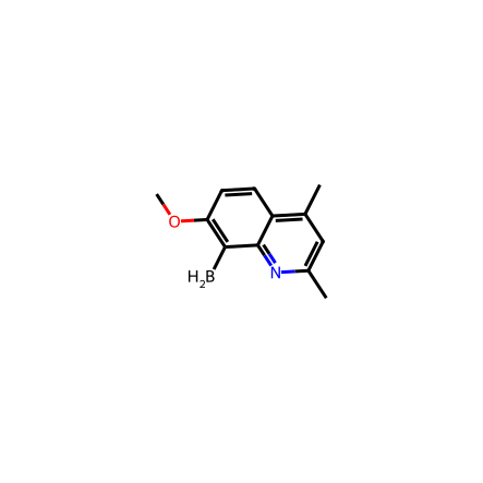 Bc1c(OC)ccc2c(C)cc(C)nc12